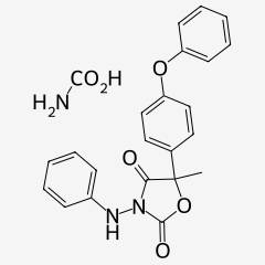 CC1(c2ccc(Oc3ccccc3)cc2)OC(=O)N(Nc2ccccc2)C1=O.NC(=O)O